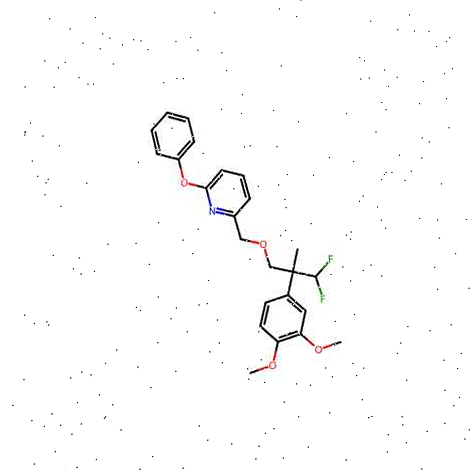 COc1ccc(C(C)(COCc2cccc(Oc3ccccc3)n2)C(F)F)cc1OC